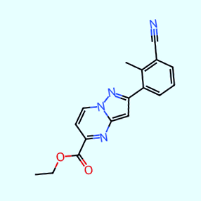 CCOC(=O)c1ccn2nc(-c3cccc(C#N)c3C)cc2n1